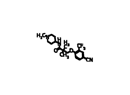 CN1CCC(NC(=O)C(C)(C)COc2ccc(C#N)cc2C(F)(F)F)CC1